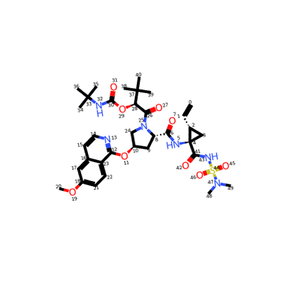 C=C[C@@H]1C[C@]1(NC(=O)[C@@H]1C[C@@H](Oc2nccc3cc(OC)ccc23)CN1C(=O)[C@@H](OC(=O)NC(C)(C)C)C(C)(C)C)C(=O)NS(=O)(=O)N(C)C